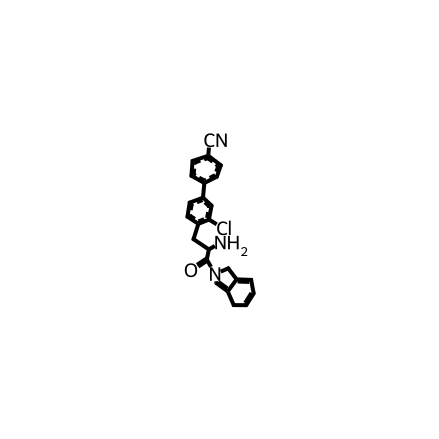 N#Cc1ccc(-c2ccc(CC(N)C(=O)N3C=C4CC=CC=C4C3)c(Cl)c2)cc1